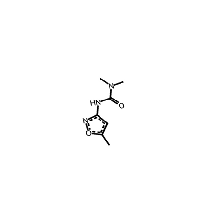 Cc1cc(NC(=O)N(C)C)no1